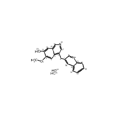 COc1cc2c(Cc3cnc4ccccc4c3)cncc2cc1O.Cl.Cl